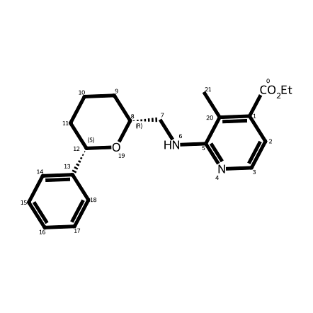 CCOC(=O)c1ccnc(NC[C@H]2CCC[C@@H](c3ccccc3)O2)c1C